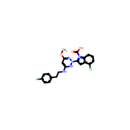 COC1=NN(c2cc3c(Cl)cccc3n2C(=O)O)NC(NCCc2ccc(F)cc2)=C1